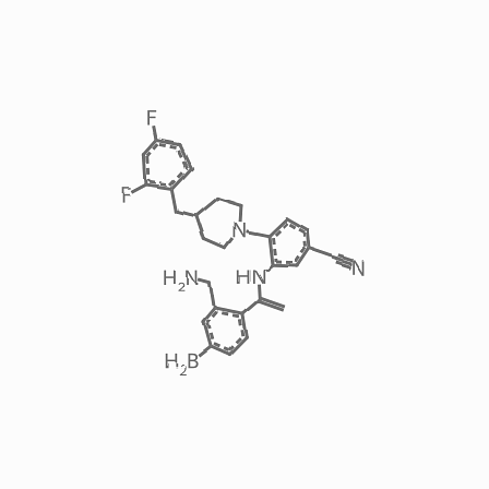 Bc1ccc(C(=C)Nc2cc(C#N)ccc2N2CCC(Cc3ccc(F)cc3F)CC2)c(CN)c1